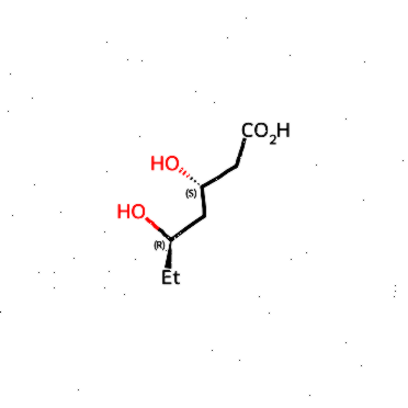 CC[C@@H](O)C[C@H](O)CC(=O)O